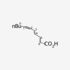 CCCCC#CC=CC=CC(=O)O